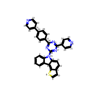 c1ccc2c(c1)c1c3sccc3ccc1n2-c1nc(-c2ccncc2)nc(-c2ccc(-c3ccncc3)cc2)n1